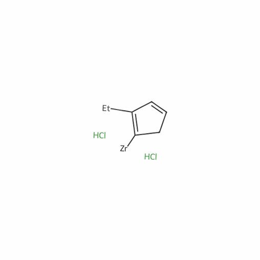 CCC1=[C]([Zr])CC=C1.Cl.Cl